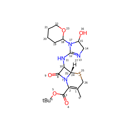 CC1=C(C(=O)OC(C)(C)C)N2C(=O)C(NC3=NCC(O)N3C3CCCCO3)[C@@H]2SC1